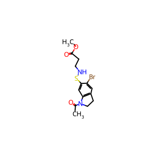 COC(=O)CCNSc1cc2c(cc1Br)CCN2C(C)=O